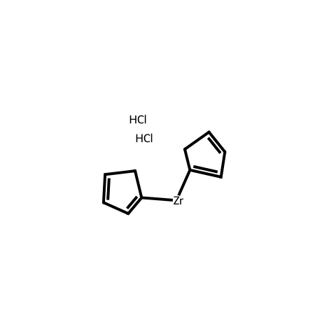 C1=CC[C]([Zr][C]2=CC=CC2)=C1.Cl.Cl